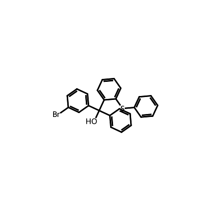 OC(c1ccccc1)(c1cccc(Br)c1)c1ccccc1Sc1ccccc1